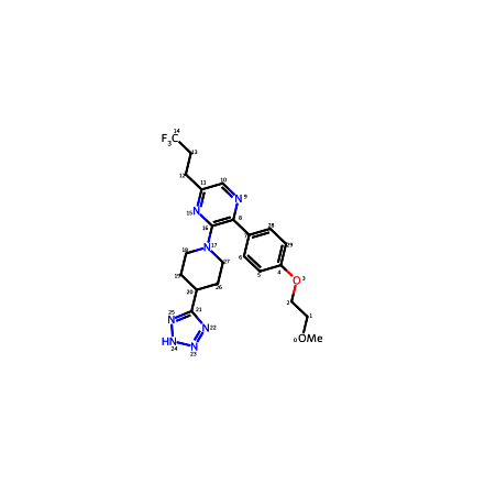 COCCOc1ccc(-c2ncc(CCC(F)(F)F)nc2N2CCC(c3nn[nH]n3)CC2)cc1